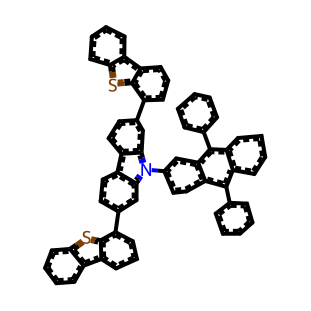 c1ccc(-c2c3ccccc3c(-c3ccccc3)c3cc(-n4c5cc(-c6cccc7c6sc6ccccc67)ccc5c5ccc(-c6cccc7c6sc6ccccc67)cc54)ccc23)cc1